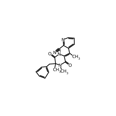 CC(=C1NC(=O)C(C)(Cc2ccccc2)N(C)C1=O)c1cccnc1C#N